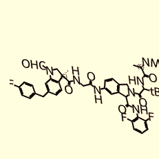 CN[C@@H](C)C(=O)NC(C(=O)N1Cc2ccc(NC(=O)CNC(=O)[C@]3(C)CN(C=O)c4cc(Cc5ccc(F)cc5)ccc43)cc2C1C(=O)Nc1c(F)cccc1F)C(C)(C)C